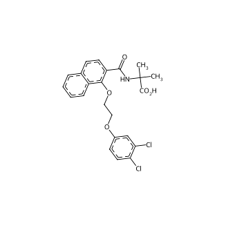 CC(C)(NC(=O)c1ccc2ccccc2c1OCCOc1ccc(Cl)c(Cl)c1)C(=O)O